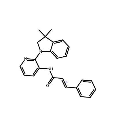 CC1(C)CN(c2ncccc2NC(=O)/C=C/c2ccccc2)c2ccccc21